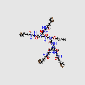 COCCOCCN(CCC(=O)NCCN(CCC(=O)NCCNC(=O)CCCCC1CCCS1)CCC(=O)NCCNC(=O)CCCCC1CCSS1)CCC(=O)NCCN(CCC(=O)NCCNC(=O)CCCCC1CCSS1)CCC(=O)NCCNC(=O)CCCCC1CCSS1